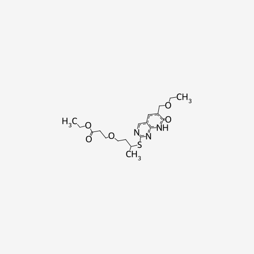 CCOCc1cc2cnc(SC(C)CCOCCC(=O)OCC)nc2[nH]c1=O